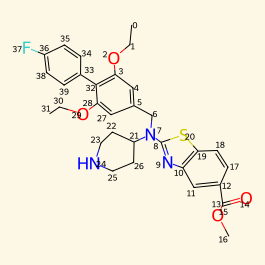 CCOc1cc(CN(c2nc3cc(C(=O)OC)ccc3s2)C2CCNCC2)cc(OCC)c1-c1ccc(F)cc1